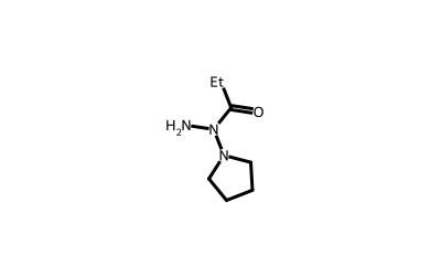 CCC(=O)N(N)N1CCCC1